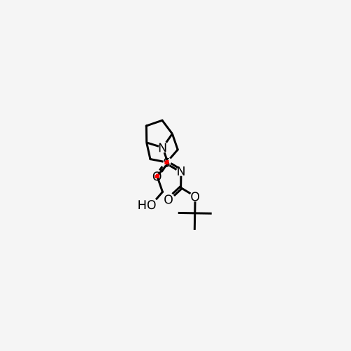 CC(C)(C)OC(=O)N=S1(=O)CC2CCC(C1)N2CCCO